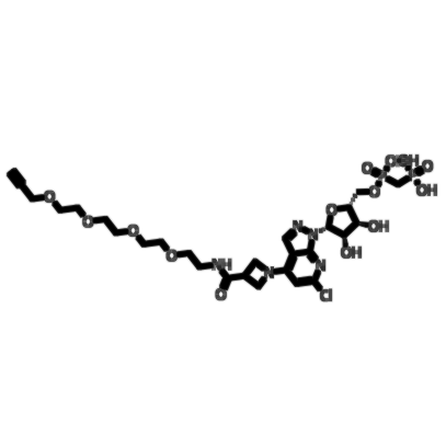 C#CCOCCOCCOCCOCCNC(=O)C1CN(c2cc(Cl)nc3c2cnn3[C@@H]2O[C@H](COP(=O)(O)CP(=O)(O)O)[C@@H](O)[C@H]2O)C1